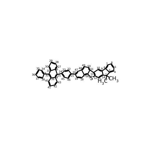 CC1(C)c2ccccc2-c2cc3c(cc21)sc1c2ccc(-c4ccc(-c5c6ccccc6c(-c6ccccc6)c6ccccc56)cc4)cc2ccc31